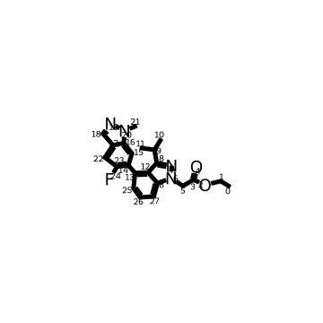 CCOC(=O)Cn1nc(C(C)C)c2c(-c3cc4c(cnn4C)cc3F)cccc21